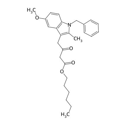 CCCCCCOC(=O)CC(=O)Cc1c(C)n(Cc2ccccc2)c2ccc(OC)cc12